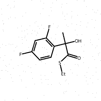 CCSC(=O)C(C)(O)c1ccc(F)cc1F